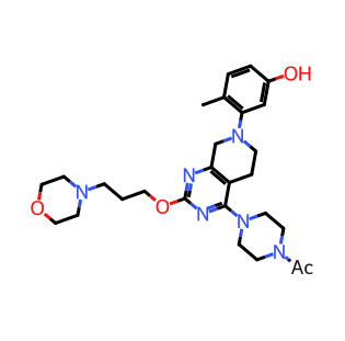 CC(=O)N1CCN(c2nc(OCCCN3CCOCC3)nc3c2CCN(c2cc(O)ccc2C)C3)CC1